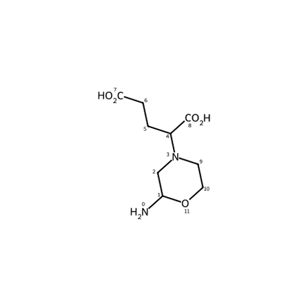 NC1CN(C(CCC(=O)O)C(=O)O)CCO1